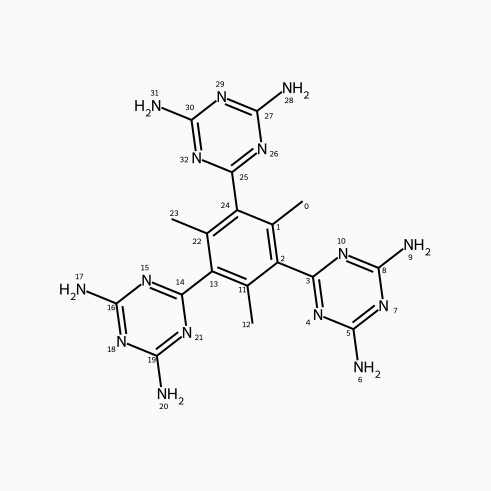 Cc1c(-c2nc(N)nc(N)n2)c(C)c(-c2nc(N)nc(N)n2)c(C)c1-c1nc(N)nc(N)n1